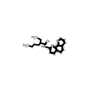 CCCCC(CC)C(=O)Nc1ccc2ccc3cccnc3c2n1